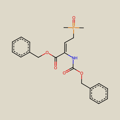 CP(C)(=O)C/C=C(\NC(=O)OCc1ccccc1)C(=O)OCc1ccccc1